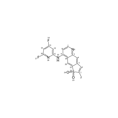 CC1=Cc2cc3nccc(Nc4cc(F)cc(F)n4)c3cc2S1(=O)=O